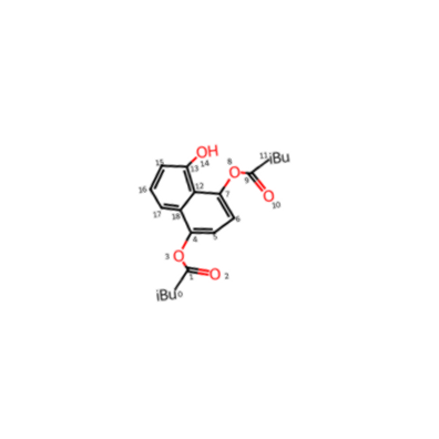 CCC(C)C(=O)Oc1ccc(OC(=O)C(C)CC)c2c(O)cccc12